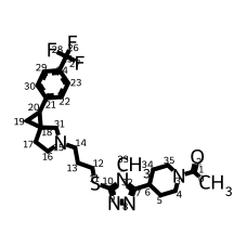 CC(=O)N1CCC(c2nnc(SCCCN3CCC4(CC4c4ccc(C(F)(F)F)cc4)C3)n2C)CC1